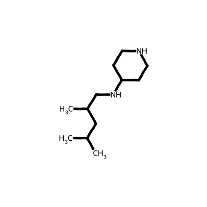 CC(C)CC(C)CNC1CCNCC1